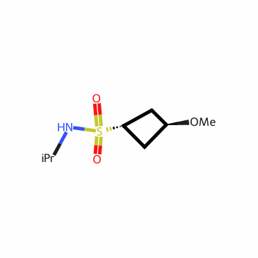 CO[C@H]1C[C@H](S(=O)(=O)NC(C)C)C1